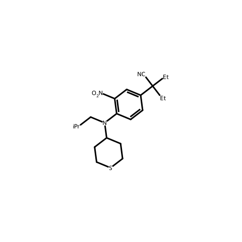 CCC(C#N)(CC)c1ccc(N(CC(C)C)C2CCSCC2)c([N+](=O)[O-])c1